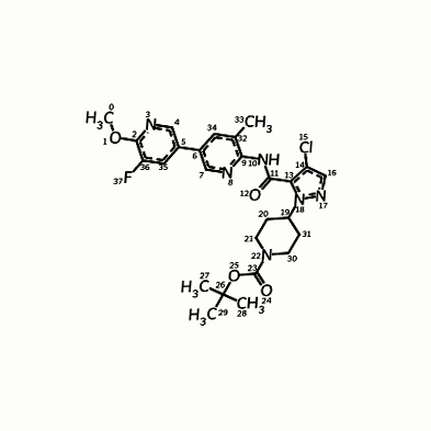 COc1ncc(-c2cnc(NC(=O)c3c(Cl)cnn3C3CCN(C(=O)OC(C)(C)C)CC3)c(C)c2)cc1F